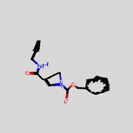 C#CCNC(=O)C1CN(C(=O)OCc2ccccc2)C1